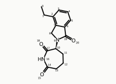 CCc1cccc2c1CN([C@H]1CCCC(=O)NC1=O)C2=O